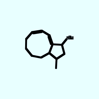 CCCCC1CC(C)C2CCCCC=CC=C12